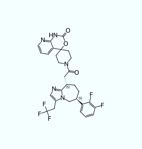 O=C1Nc2ncccc2C2(CCN(C(=O)C[C@@H]3CC[C@@H](c4cccc(F)c4F)Cn4c(CC(F)(F)F)cnc43)CC2)O1